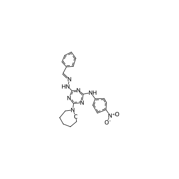 O=[N+]([O-])c1ccc(Nc2nc(N/N=C/c3ccccc3)nc(N3CCCCCC3)n2)cc1